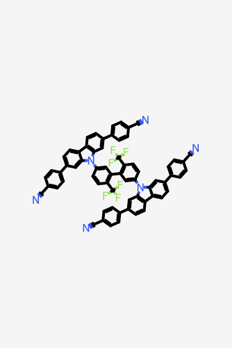 N#Cc1ccc(-c2ccc3c4ccc(-c5ccc(C#N)cc5)cc4n(-c4ccc(C(F)(F)F)c(-c5cc(-n6c7cc(-c8ccc(C#N)cc8)ccc7c7ccc(-c8ccc(C#N)cc8)cc76)ccc5C(F)(F)F)c4)c3c2)cc1